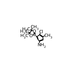 Cc1cc(N)cc(B2OC(C)(C)C(C)(C)O2)c1Cl